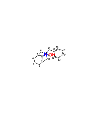 ON=C1C2CCCC1CN(Cc1ccccc1)C2